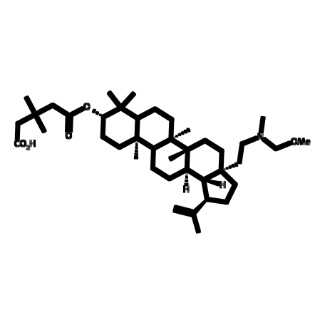 C=C(C)[C@@H]1CC[C@]2(CCN(C)COC)CC[C@]3(C)[C@H](CCC4[C@@]5(C)CC[C@H](OC(=O)CC(C)(C)CC(=O)O)C(C)(C)C5CC[C@]43C)[C@@H]12